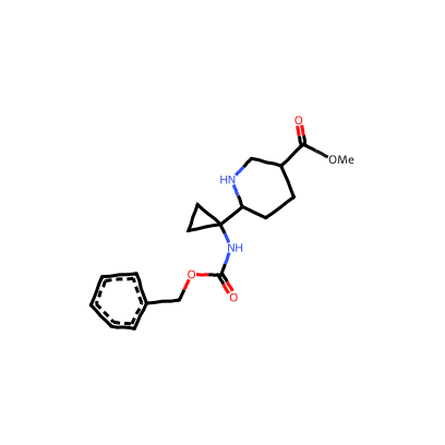 COC(=O)C1CCC(C2(NC(=O)OCc3ccccc3)CC2)NC1